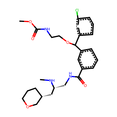 CN[C@H](CNC(=O)c1cccc(C(OCCNC(=O)OC)c2cccc(Cl)c2)c1)C[C@H]1CCCOC1